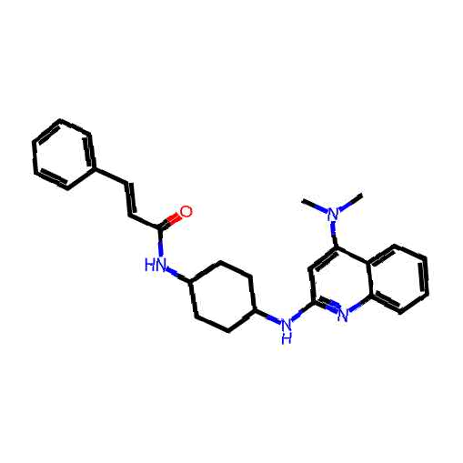 CN(C)c1cc(NC2CCC(NC(=O)C=Cc3ccccc3)CC2)nc2ccccc12